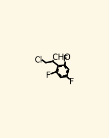 O=CC(CCl)c1c(F)cc(F)cc1F